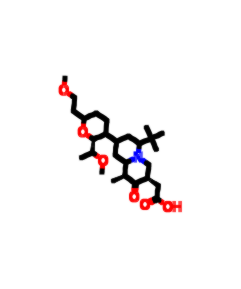 COCCC1CCC(C2CC3[C@H](C)C(=O)[C@H](CC(=O)O)CN3C(C(C)(C)C)C2)[C@@H](C(C)OC)O1